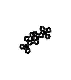 c1ccc(-c2ccccc2-n2c3ccc(-n4c5ccccc5c5ccccc54)cc3c3cccc(-n4c5ccccc5c5cc([Si](c6ccccc6)(c6ccccc6)c6ccccc6)ccc54)c32)cc1